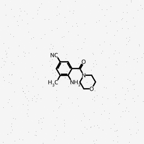 Cc1cc(C#N)cc(C(=O)N2CCOCC2)c1N